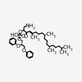 C/C(=C\C(=O)C(CN)OP(=O)(O)OC[C@@H](COc1ccccc1)Oc1ccccc1)CCC[C@H](C)CCC[C@H](C)CCCC(C)C